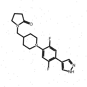 O=C1CCCN1CC1CCN(c2cc(F)c(-c3cn[nH]c3)cc2F)CC1